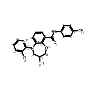 O=C(Nc1ccc(C(F)(F)F)cc1)c1cccc2c1OCC(O)CN2c1ncccc1Cl